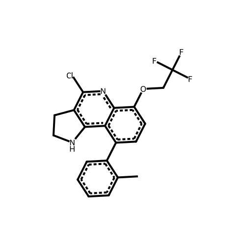 Cc1ccccc1-c1ccc(OCC(F)(F)F)c2nc(Cl)c3c(c12)NCC3